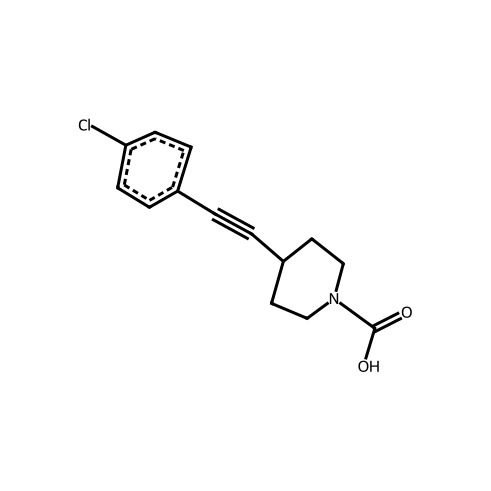 O=C(O)N1CCC(C#Cc2ccc(Cl)cc2)CC1